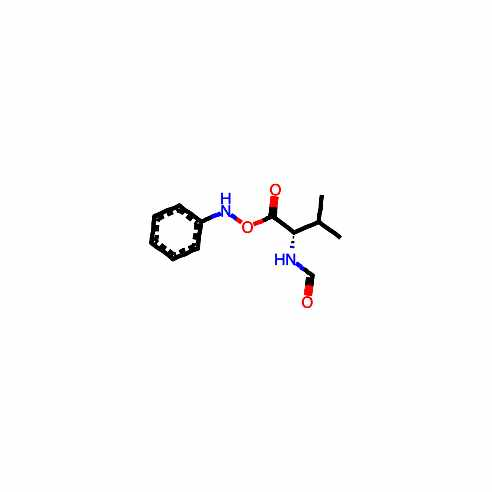 CC(C)[C@H](NC=O)C(=O)ONc1ccccc1